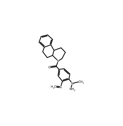 C=Nc1cc(C(=O)N2CCCC3c4ccccc4CCC32)ccc1N(C)N